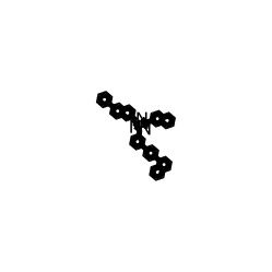 c1ccc(-c2ccc3cc(-c4nc(-c5cccc(-c6ccc(-c7cccc8ccccc78)cc6)c5)nc(-c5ccc6ccccc6c5)n4)ccc3c2)cc1